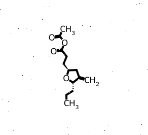 C=C1C[C@H](CCC(=O)OC(C)=O)O[C@H]1CCC